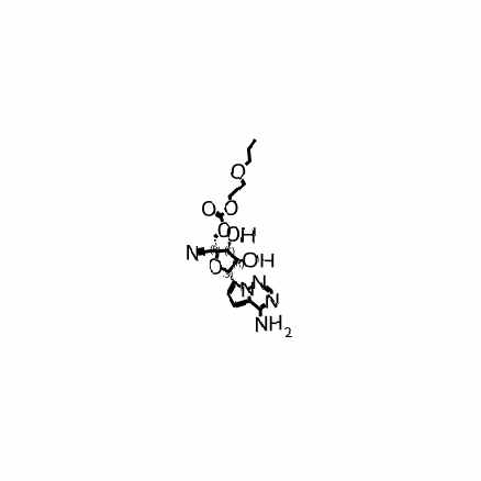 CCCOCCOC(=O)OC[C@@]1(C#N)O[C@@H](c2ccc3c(N)ncnn23)[C@H](O)[C@@H]1O